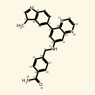 CC1C=Nc2ccc(-c3cc(NCc4ccc(C(N)=O)cc4)cc4nccnc34)cc21